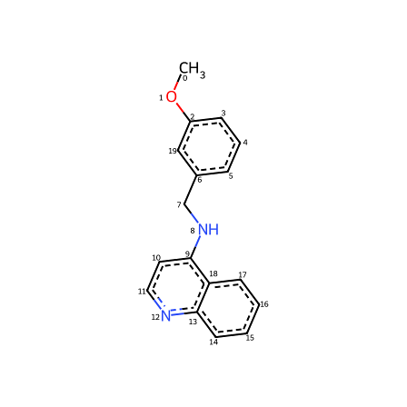 COc1cccc(CNc2ccnc3ccccc23)c1